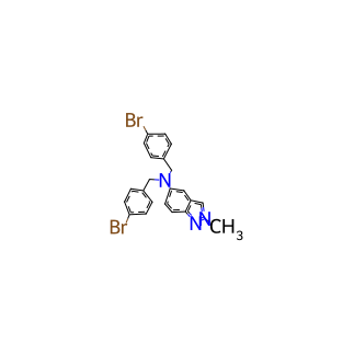 Cn1cc2cc(N(Cc3ccc(Br)cc3)Cc3ccc(Br)cc3)ccc2n1